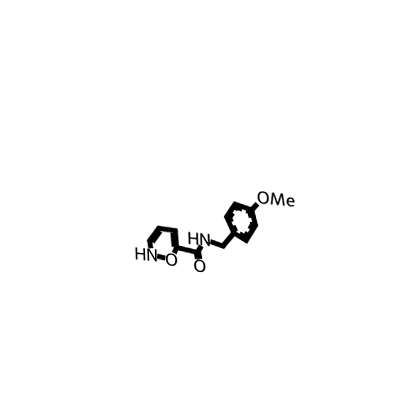 COc1ccc(CNC(=O)C2=CC=CNO2)cc1